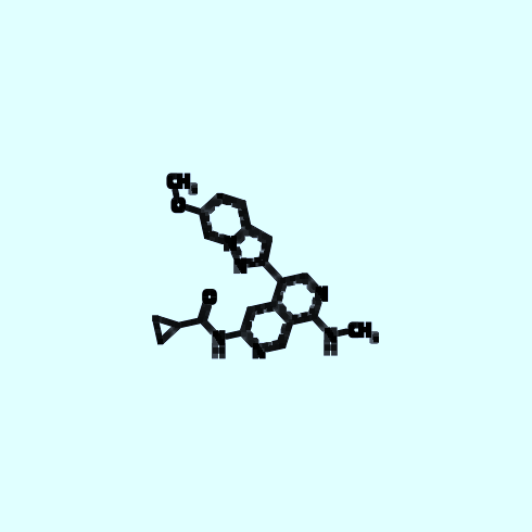 CNc1ncc(-c2cc3ccc(OC)cn3n2)c2cc(NC(=O)C3CC3)ncc12